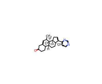 CC1C=C2CC(=O)CC[C@]2(C)[C@H]2CC[C@]3(C)C(c4ccncn4)=CC[C@H]3[C@H]12